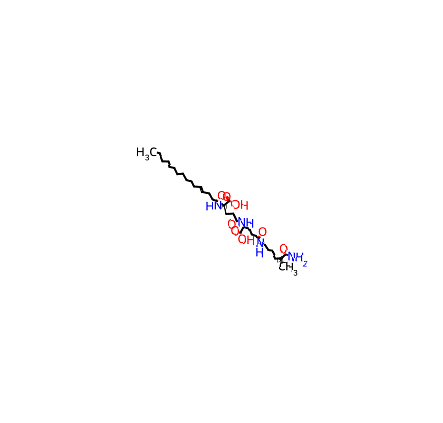 CCCCCCCCCCCCCCCC(=O)N[C@H](CCC(=O)NC(CCC(=O)NCCCC[C@H](C)C(N)=O)C(=O)O)C(=O)O